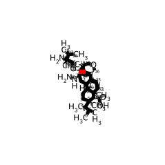 CC(C)[C@@H](C)[C@@]1(C)CC[C@]2(C)[C@H]3CC[C@@H]4[C@@]5(COC[C@]4(C)[C@@H](OC[C@](C)(N)C(C)C)[C@H](NN)C5)C3=CC[C@@]2(C)[C@@H]1C(=O)O